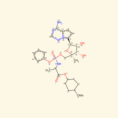 COC1CCC(OC(=O)C(C)NP(=O)(OC[C@@]2(C)O[C@@H](c3ccc4c(N)ncnn34)[C@H](O)[C@@H]2O)Oc2ccccc2)CC1